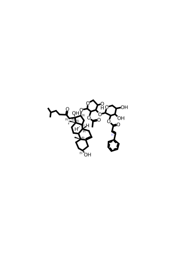 CC(=O)OC1C(O[C@H]2C[C@H]3[C@@H]4CC=C5C[C@@H](O)CC[C@]5(C)C4CC[C@]3(C)[C@@]2(O)[C@H](C)C(=O)CCC(C)C)OCC(O)C1OC1OCC(O)C(O)C1OC(=O)/C=C/c1ccccc1